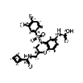 O=C(O)Nc1ccc2c(c1)N(S(=O)(=O)c1ccc(F)c(Cl)c1)CC(CNC(=O)C13CC(C1)C3)O2